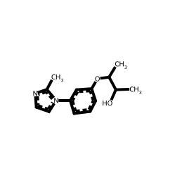 Cc1nccn1-c1cccc(OC(C)C(C)O)c1